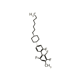 CCCCCCC[C@H]1CC[C@H](c2ccc(-c3c(F)cc(C)c(F)c3F)c(F)c2)CC1